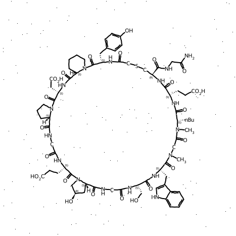 CCCC[C@H]1C(=O)N[C@@H](CCC(=O)O)C(=O)N[C@H](C(=O)NCC(N)=O)CSCC(=O)N[C@@H](Cc2ccc(O)cc2)C(=O)N2CCCC[C@H]2C(=O)N[C@@H](CC(=O)O)C(=O)N2CCC[C@H]2C(=O)NCC(=O)N[C@@H](CCC(=O)O)C(=O)N2C[C@H](O)C[C@H]2C(=O)NCC(=O)N[C@@H](CO)C(=O)N[C@@H](Cc2c[nH]c3ccccc23)C(=O)N(C)CC(=O)N1C